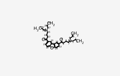 C=CCN(CC=C)CCCC(=O)c1ccc2oc3ccc(C(=O)CCCN(CC=C)CC=C)cc3c2c1